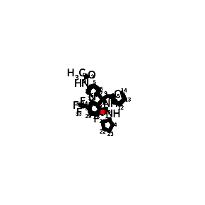 CC(=O)Nc1ccc(C(Cc2ccccc2)(NC(=O)NC2CCCC2)c2cc(F)cc(C(F)(F)F)c2)nc1